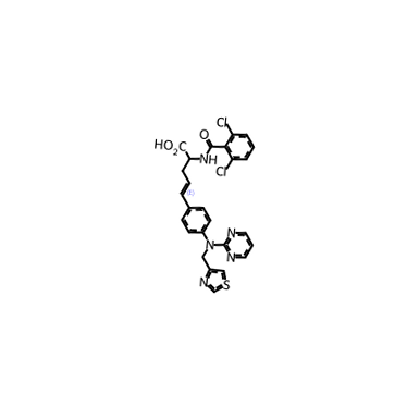 O=C(NC(C/C=C/c1ccc(N(Cc2cscn2)c2ncccn2)cc1)C(=O)O)c1c(Cl)cccc1Cl